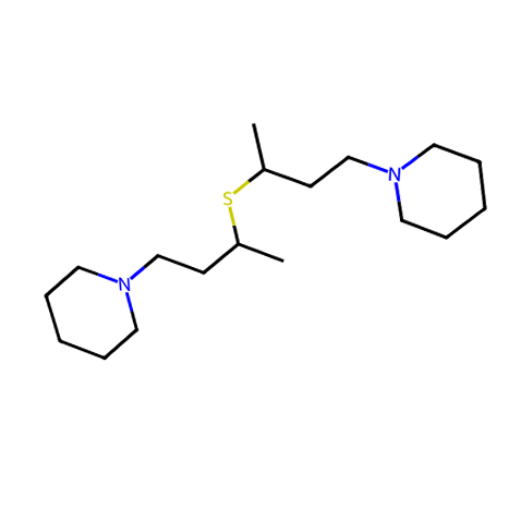 CC(CCN1CCCCC1)SC(C)CCN1CCCCC1